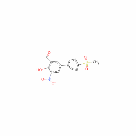 CS(=O)(=O)c1ccc(-c2cc(C=O)c(O)c([N+](=O)[O-])c2)cc1